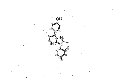 Cc1nn2c(-c3ccc(O)cc3)ccnc2c1-c1ccc(F)cc1F